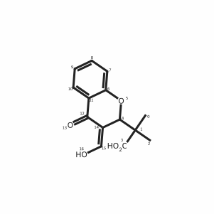 CC(C)(C(=O)O)C1Oc2ccccc2C(=O)C1=CO